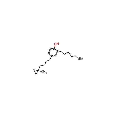 CC(C)(C)CCCCCc1cc(CCCCC2(C)CC2)ccc1O